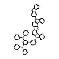 c1ccc(N(c2ccccc2)c2cc(-c3cccc(-n4c5ccccc5c5c6oc7c(ccc8c7c7ccccc7n8-c7ccc8oc9ccccc9c8c7)c6ccc54)c3)cc(N(c3ccccc3)c3ccccc3)c2)cc1